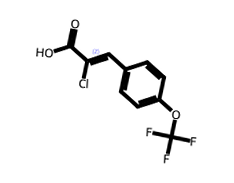 O=C(O)/C(Cl)=C/c1ccc(OC(F)(F)F)cc1